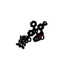 COc1ccc2c(c1)C1CC1(C(=O)N1C3CCC1CN(C)C3)Cn1c-2c(C2CCCCC2)c2ccc(C(=O)NS(=O)(=O)c3nc(C)cc(C)n3)cc21